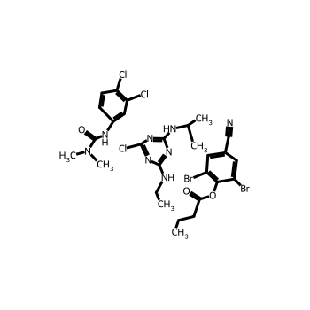 CCCC(=O)Oc1c(Br)cc(C#N)cc1Br.CCNc1nc(Cl)nc(NC(C)C)n1.CN(C)C(=O)Nc1ccc(Cl)c(Cl)c1